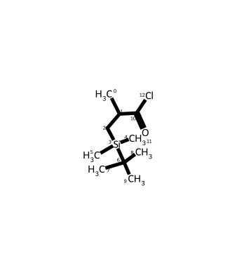 CC(C[Si](C)(C)C(C)(C)C)C(=O)Cl